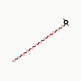 COCCOCCOCCOCCOCCOCCOCCOCCOCCOCCOCCOCc1cc(C)ccc1C